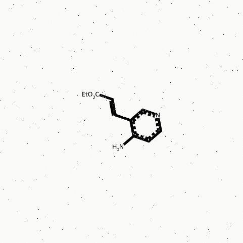 CCOC(=O)/C=C/c1cnccc1N